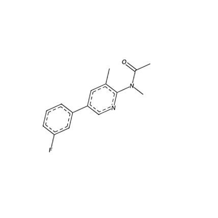 CC(=O)N(C)c1ncc(-c2cccc(F)c2)cc1C